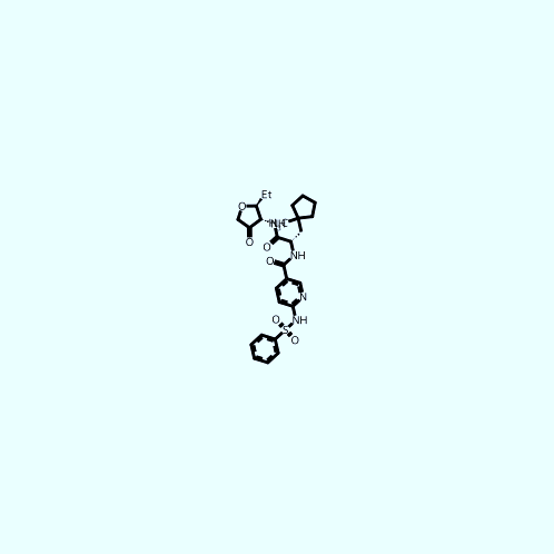 CC[C@@H]1OCC(=O)[C@H]1NC(=O)[C@H](CC1(C)CCCC1)NC(=O)c1ccc(NS(=O)(=O)c2ccccc2)nc1